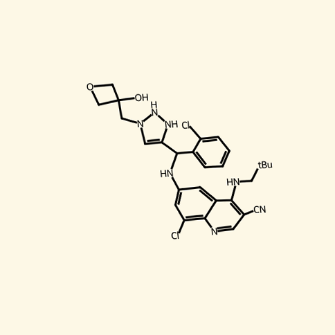 CC(C)(C)CNc1c(C#N)cnc2c(Cl)cc(NC(C3=CN(CC4(O)COC4)NN3)c3ccccc3Cl)cc12